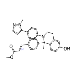 COC(=O)/C=C/c1ccc(C2(C)c3ccc(O)cc3CCN2c2ccc(-c3ccnn3C)cc2)cc1